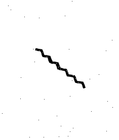 [CH2]CCC=CC=CCCCCCC